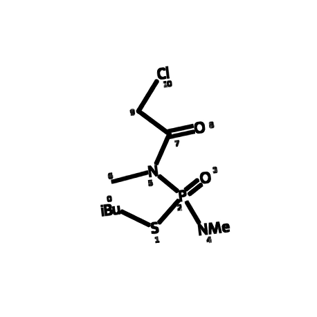 CCC(C)SP(=O)(NC)N(C)C(=O)CCl